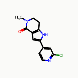 CN1CCc2[nH]c(-c3ccnc(Cl)c3)cc2C1=O